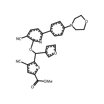 COC(=O)c1cc(C#N)c(C(Oc2nc(-c3ccc(N4CCOCC4)cc3)ccc2C#N)c2ccoc2)s1